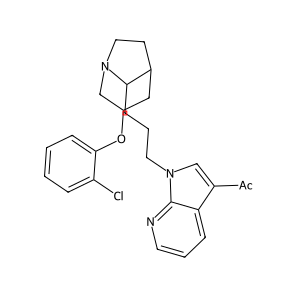 CC(=O)c1cn(CCCC2C3CCN2CC(Oc2ccccc2Cl)C3)c2ncccc12